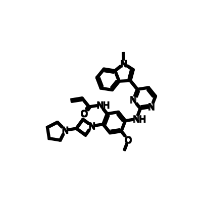 C=CC(=O)Nc1cc(Nc2nccc(-c3cn(C)c4ccccc34)n2)c(OC)cc1N1CC(N2CCCC2)C1